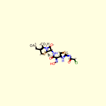 CC(=O)OCC1=C(C(=O)O)N2C(=O)C(NC(=O)/C(=N\O)c3cs/c(=N/C(=O)CCl)[nH]3)[C@H]2SC1